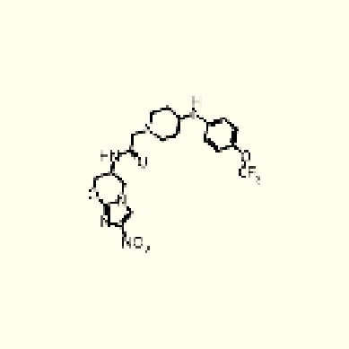 O=C(CN1CCC(Nc2ccc(OC(F)(F)F)cc2)CC1)NC1COc2nc([N+](=O)[O-])cn2C1